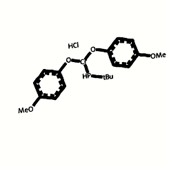 COc1ccc([O][Cr]([O]c2ccc(OC)cc2)[PH]C(C)(C)C)cc1.Cl